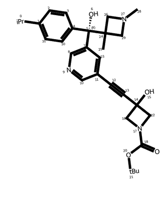 CC(C)c1ccc([C@](O)(c2cncc(C#CC3(O)CN(C(=O)OC(C)(C)C)C3)c2)C2(C)CN(C)C2)cc1